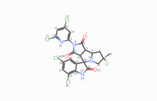 C[C@]1(F)CC2C3C(=O)N(c4cc(Cl)cc(Cl)n4)C(=O)C3C3(C(=O)Nc4c(Cl)cc(Cl)cc43)N2C1